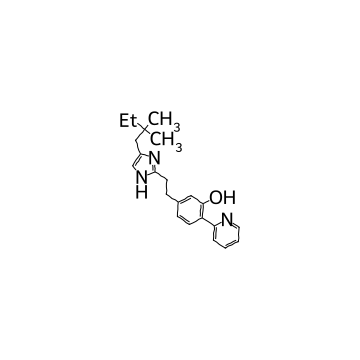 CCC(C)(C)Cc1c[nH]c(CCc2ccc(-c3ccccn3)c(O)c2)n1